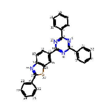 c1ccc(-c2nc(-c3ccccc3)nc(-c3ccc4nc(-c5ccccc5)sc4c3)n2)cc1